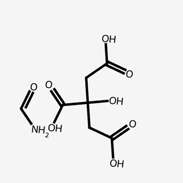 NC=O.O=C(O)CC(O)(CC(=O)O)C(=O)O